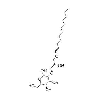 CCCCCCCCCC/C=C/OCC(O)CO[C@@H]1[C@@H](O)[C@@H](O)[C@@H](CO)O[C@H]1O